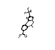 COC(=O)c1ccc2c(c1)C(C)Cn1cc(C(F)(F)F)nc1-2